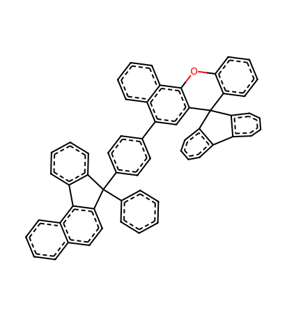 c1ccc(C2(c3ccc(-c4cc5c(c6ccccc46)Oc4ccccc4C54c5ccccc5-c5ccccc54)cc3)c3ccccc3-c3c2ccc2ccccc32)cc1